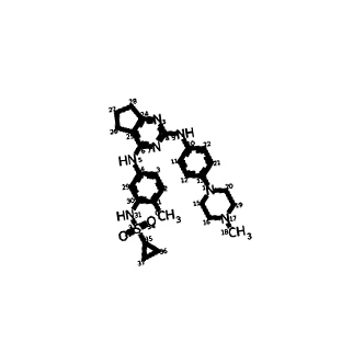 Cc1ccc(Nc2nc(Nc3ccc(N4CCN(C)CC4)cc3)nc3c2CCC3)cc1NS(=O)(=O)C1CC1